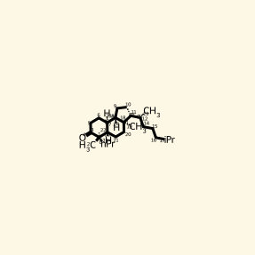 CCC[C@@]1(C)C(=O)CC[C@H]2[C@@H]3CC[C@H]([C@H](C)CCCC(C)C)[C@@]3(C)CC[C@@H]21